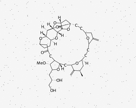 C=C1CC2CC[C@@]34C[C@H]5O[C@H]6[C@@H](O3)[C@H]3OC(CC[C@@H]3O[C@H]6[C@H]5O4)CC(=O)CC3[C@@H](OC)C(C[C@H](O)CO)O[C@H]3CC3O[C@@H](CCC1O2)C[C@@H](C)C3=C